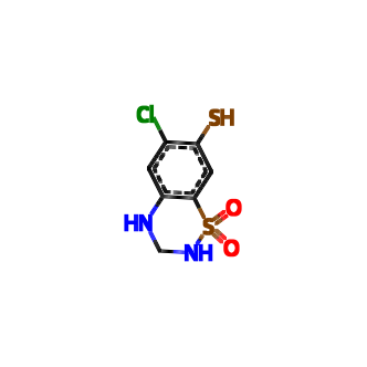 O=S1(=O)NCNc2cc(Cl)c(S)cc21